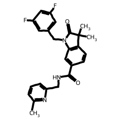 Cc1cccc(CNC(=O)c2ccc3c(c2)N(Cc2cc(F)cc(F)c2)C(=O)C3(C)C)n1